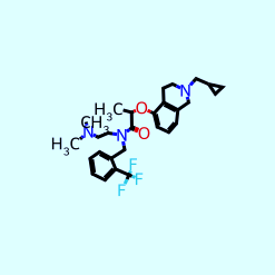 CC(Oc1cccc2c1CCN(CC1CC1)C2)C(=O)N(CCN(C)C)Cc1ccccc1C(F)(F)F